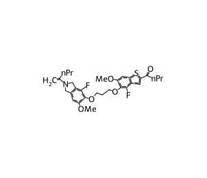 C=C(CCC)N1Cc2cc(OC)c(OCCCOc3c(OC)cc4sc(C(=O)CCC)cc4c3F)c(F)c2C1